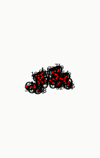 CC(C)(C)OC(=O)CN(CCN(CC(=O)OC(C)(C)C)CC(C(=O)NCCN(CCNC(=O)[C@@H](CN(CCN(CC(=O)OC(C)(C)C)CC(=O)OC(C)(C)C)CC(=O)OC(C)(C)C)N(CC(=O)OC(C)(C)C)CC(=O)OC(C)(C)C)CC(=O)O)N(CC(=O)OC(C)(C)C)CC(=O)OC(C)(C)C)CC(=O)OC(C)(C)C